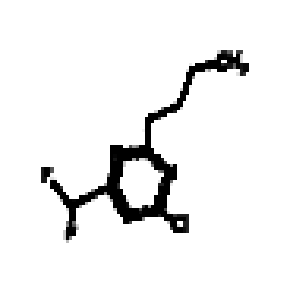 CCCCc1nc(Cl)cc(C(F)F)n1